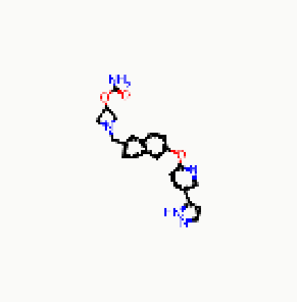 NC(=O)OC1CN(Cc2ccc3cc(Oc4ccc(-c5ccn[nH]5)cn4)ccc3c2)C1